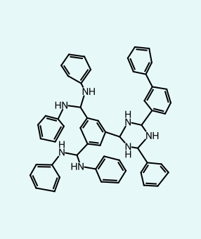 c1ccc(NC(Nc2ccccc2)c2cc(C(Nc3ccccc3)Nc3ccccc3)cc(C3NC(c4ccccc4)NC(c4cccc(-c5ccccc5)c4)N3)c2)cc1